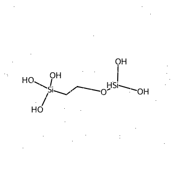 O[SiH](O)OCC[Si](O)(O)O